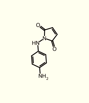 Nc1ccc(NN2C(=O)C=CC2=O)cc1